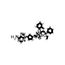 CCON(c1ccccc1)[C@@H](Cc1ccccc1)C(=O)OP(N)(=O)OC[C@H]1C=C[C@@H](n2cnc3c(N)ncnc32)C1